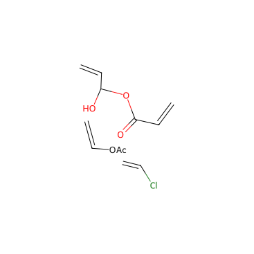 C=CC(=O)OC(O)C=C.C=CCl.C=COC(C)=O